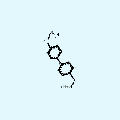 CCCCCCCSc1ccc(-c2ccc(OC(=O)O)cc2)cc1